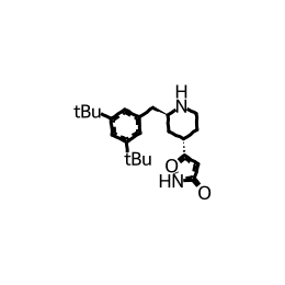 CC(C)(C)c1cc(C[C@@H]2C[C@@H](c3cc(=O)[nH]o3)CCN2)cc(C(C)(C)C)c1